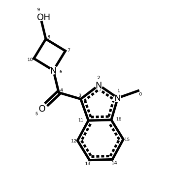 Cn1nc(C(=O)N2CC(O)C2)c2ccccc21